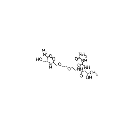 CC(O)C(NC(=O)NC(N)=O)C(=O)NCCOCCOCC(=O)NC(CO)C(N)=O